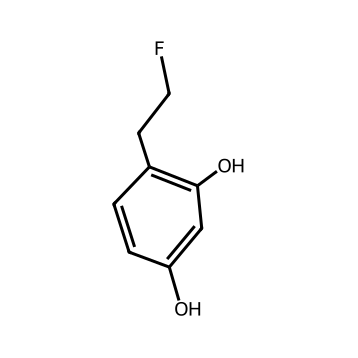 Oc1ccc(CCF)c(O)c1